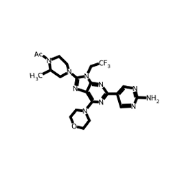 CC(=O)N1CCN(c2nc3c(N4CCOCC4)nc(-c4cnc(N)nc4)nc3n2CC(F)(F)F)CC1C